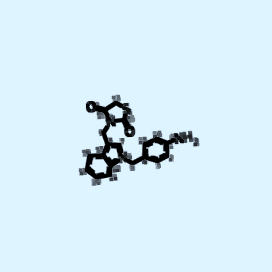 Nc1ccc(Cn2cc(CN3C(=O)CSC3=O)c3ccccc32)cc1